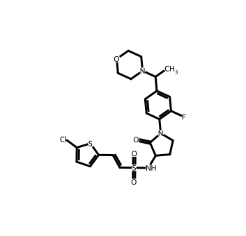 CC(c1ccc(N2CCC(NS(=O)(=O)C=Cc3ccc(Cl)s3)C2=O)c(F)c1)N1CCOCC1